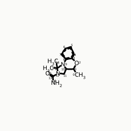 CC1Oc2ccccc2N2C1CN(C(N)=O)C2(C)C